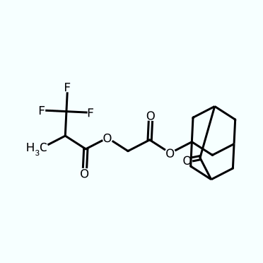 CC(C(=O)OCC(=O)OC12CC3CC(C1)C(=O)C(C3)C2)C(F)(F)F